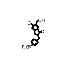 O=C1c2cc(CO)c(Cl)cc2CC1Cc1ccc(SC(F)(F)F)cc1